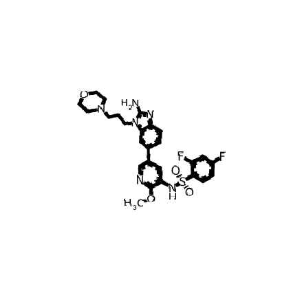 COc1ncc(-c2ccc3nc(N)n(CCCN4CCOCC4)c3c2)cc1NS(=O)(=O)c1ccc(F)cc1F